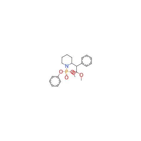 COC(=O)C(c1ccccc1)C1CCCCN1P(=O)(OC)Oc1ccccc1